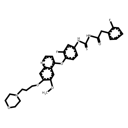 COc1cc2c(Oc3ccc(NC(=S)NC(=O)Cc4ccccc4F)cc3F)ccnc2cc1OCCCN1CCOCC1